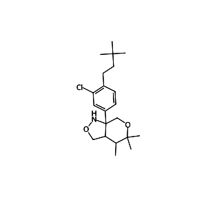 CC1C2CONC2(c2ccc(CCC(C)(C)C)c(Cl)c2)COC1(C)C